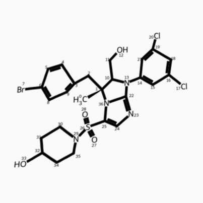 C[C@@]1(Cc2ccc(Br)cc2)C(CO)N(c2cc(Cl)cc(Cl)c2)c2ncc(S(=O)(=O)N3CCC(O)CC3)n21